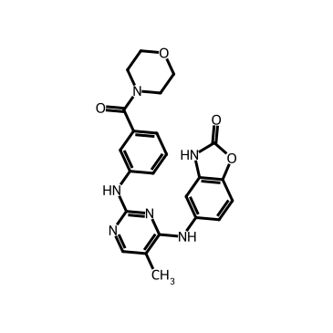 Cc1cnc(Nc2cccc(C(=O)N3CCOCC3)c2)nc1Nc1ccc2oc(=O)[nH]c2c1